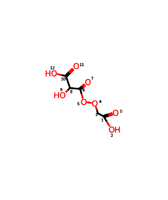 O=C(O)COOC(=O)C(O)C(=O)O